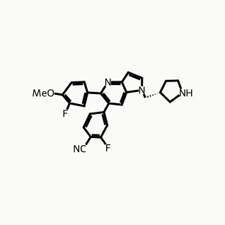 COc1ccc(-c2nc3ccn(C[C@@H]4CCNC4)c3cc2-c2ccc(C#N)c(F)c2)cc1F